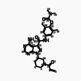 C=CC(=O)N1CCCC(n2nc(C(=O)Nc3cc(C)c(OC(=O)N(C)C)c(C)c3)c3c(N)ncnc32)C1